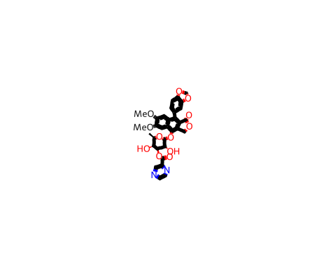 COc1cc2c(OC3O[C@H](C)[C@@H](O)[C@H](OC(=O)c4cnccn4)[C@H]3O)c3c(c(-c4ccc5c(c4)OCO5)c2cc1OC)C(=O)OC3